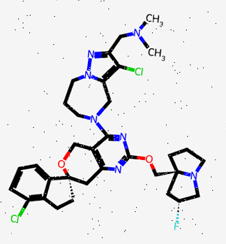 CN(C)Cc1nn2c(c1Cl)CN(c1nc(OC[C@@]34CCCN3C[C@H](F)C4)nc3c1CO[C@@]1(CCc4c(Cl)cccc41)C3)CCC2